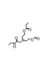 CCNC(=O)CN(CCOC=O)CCOC(=O)CC